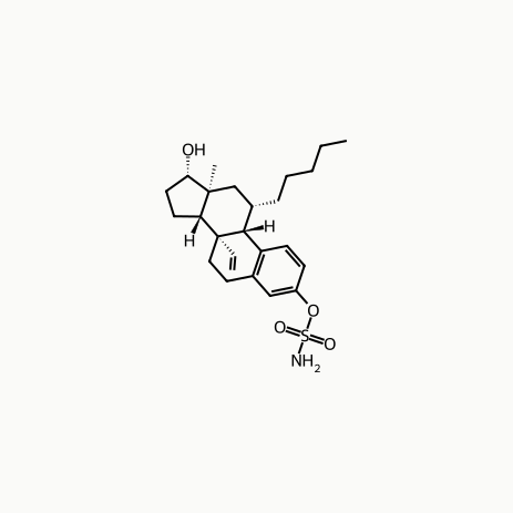 C=C[C@@]12CCc3cc(OS(N)(=O)=O)ccc3[C@H]1[C@@H](CCCCC)C[C@@]1(C)[C@H]2CC[C@@H]1O